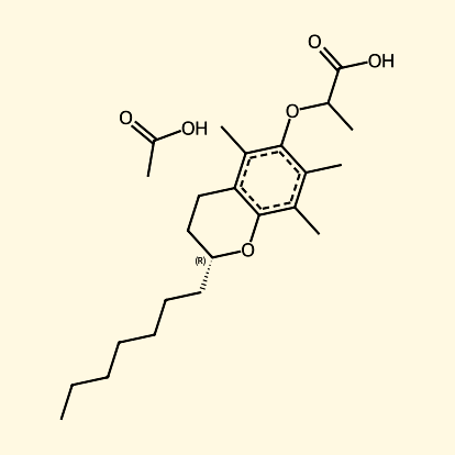 CC(=O)O.CCCCCCC[C@@H]1CCc2c(C)c(OC(C)C(=O)O)c(C)c(C)c2O1